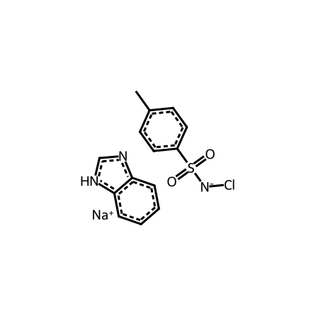 Cc1ccc(S(=O)(=O)[N-]Cl)cc1.[Na+].c1ccc2[nH]cnc2c1